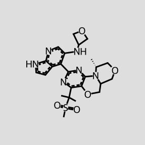 C[C@@H]1COCC2COc3c(nc(-c4c(NC5COC5)cnc5[nH]ccc45)nc3C(C)(C)S(C)(=O)=O)N21